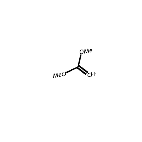 [CH]=C(OC)OC